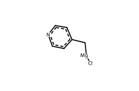 [Cl][Mg][CH2]c1ccncc1